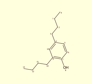 CCCCc1ccc(O)c(CCCC)c1